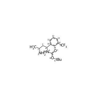 CC(N)CC(NC(=O)OC(C)(C)C)c1cccc(C(F)(F)F)c1